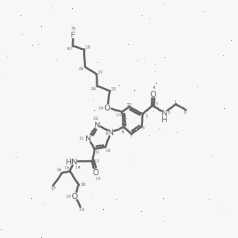 CCNC(=O)c1ccc(-n2cc(C(=O)NC(CC)COC)nn2)c(OCCCCCCF)c1